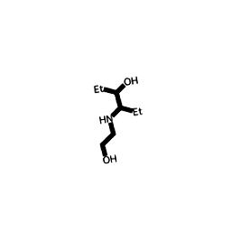 CCC(O)C(CC)NCCO